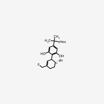 CCCCCCC(C)(C)c1cc(O)c(C2C=C(CF)CC[C@H]2C(C)C)c(O)c1